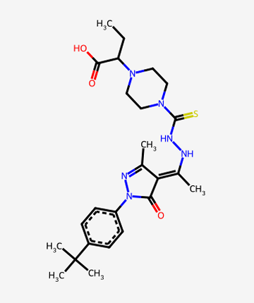 CCC(C(=O)O)N1CCN(C(=S)NNC(C)=C2C(=O)N(c3ccc(C(C)(C)C)cc3)N=C2C)CC1